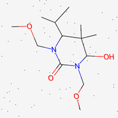 COCN1C(=O)N(COC)C(C(C)C)C(C)(C)C1O